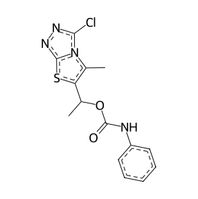 Cc1c(C(C)OC(=O)Nc2ccccc2)sc2nnc(Cl)n12